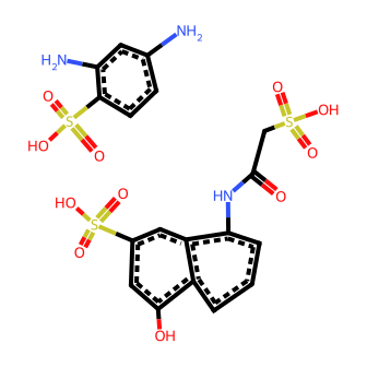 Nc1ccc(S(=O)(=O)O)c(N)c1.O=C(CS(=O)(=O)O)Nc1cccc2c(O)cc(S(=O)(=O)O)cc12